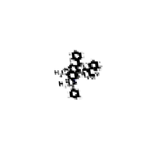 C[C@H]1C(=O)/C(=C\N(C)c2ccccc2)C[C@@]2(C)c3nc(-c4ccnc5c(F)cccc45)nc(-c4ccccc4F)c3CC[C@H]12